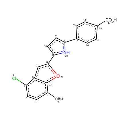 CCCCc1ccc(Cl)c2cc(-c3ccc(-c4ccc(C(=O)O)cc4)[nH]3)oc12